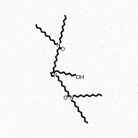 CCCCCCCCCCN(CCCCCCCCCC)C(=O)CCCCCCCN1CCC1(CCCCCCCO)CCCCCCCC(=O)N(CCCCCCCCCC)CCCCCCCCCC